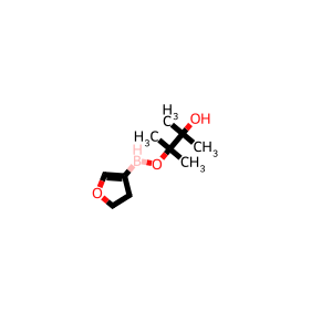 CC(C)(O)C(C)(C)OBC1=COCC1